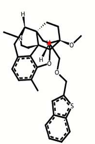 CO[C@]12CC[C@@]3(C[C@H]1COCc1cc4ccccc4s1)[C@H]1Cc4ccc(C)c5c4[C@@]3(CCN1C)[C@H]2O5